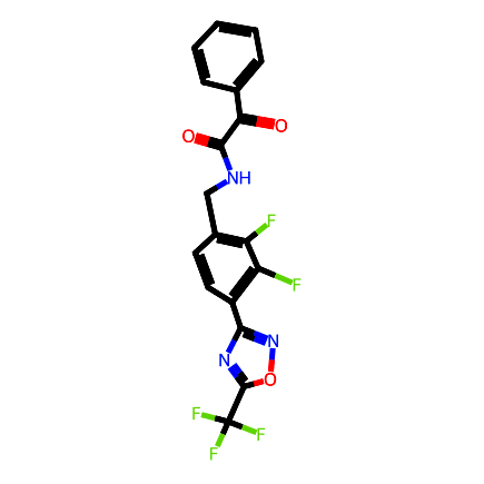 O=C(NCc1ccc(-c2noc(C(F)(F)F)n2)c(F)c1F)C(=O)c1ccccc1